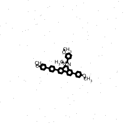 COc1ccc(-c2ccc(-c3ccc4c5ccc(-c6ccc(OC)cc6)cc5c5nc(-c6cccc(OC)c6)n(C)c5c4c3)cc2)cc1